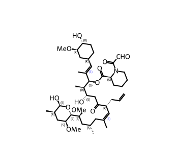 C=CC[C@H](/C=C(/C)C[C@H](C)C[C@H](OC)[C@H]1O[C@H](O)[C@H](C)C[C@@H]1OC)C(=O)C[C@H](O)[C@@H](C)[C@H](OC(=O)[C@@H]1CCCCN1C(=O)C=O)/C(C)=C/[C@@H]1CC[C@@H](O)[C@H](OC)C1